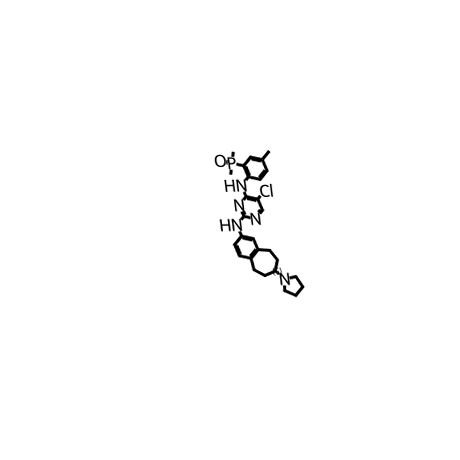 Cc1ccc(Nc2nc(Nc3ccc4c(c3)CC[C@@H](N3CCCC3)CC4)ncc2Cl)c(P(C)(C)=O)c1